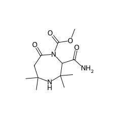 COC(=O)N1C(=O)CC(C)(C)NC(C)(C)C1C(N)=O